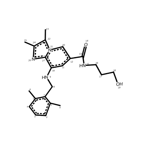 Cc1cccc(C)c1CNc1cc(C(=O)NCCCO)cn2c(C)c(C)nc12